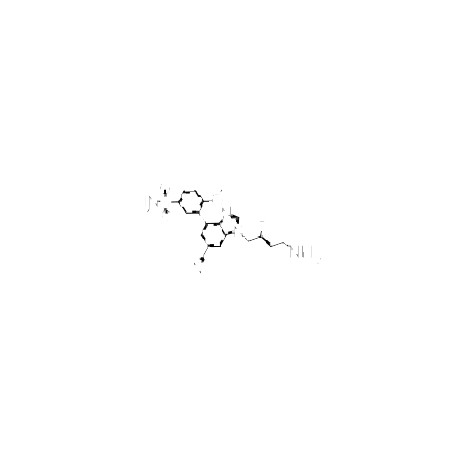 CNS(=O)(=O)c1ccc(OC)c(-c2cc(C#N)cc3c2ncn3CC(F)=CCN)c1